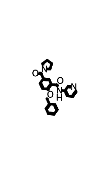 O=C(Nc1cccnc1)c1cc(C(=O)N2CCCC2)ccc1OCc1ccccc1